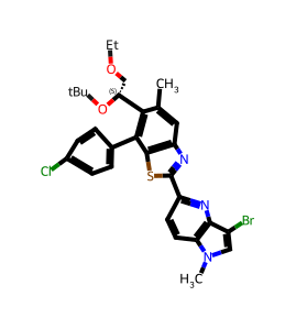 CCOC[C@@H](OC(C)(C)C)c1c(C)cc2nc(-c3ccc4c(n3)c(Br)cn4C)sc2c1-c1ccc(Cl)cc1